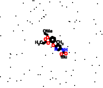 C=CC(=O)Oc1c(OCCOC)cccc1Oc1ncc(NC(=O)OC(C)(C)C)cc1C